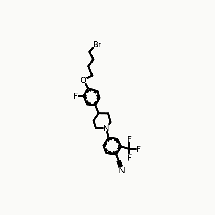 N#Cc1ccc(N2CCC(c3ccc(OCCCCBr)c(F)c3)CC2)cc1C(F)(F)F